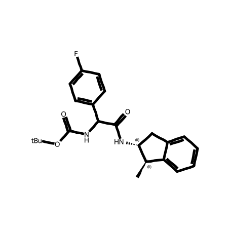 C[C@@H]1c2ccccc2C[C@H]1NC(=O)C(NC(=O)OC(C)(C)C)c1ccc(F)cc1